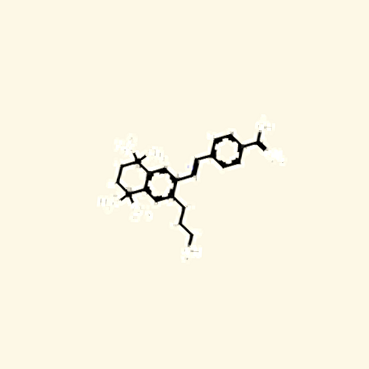 C=C(O)c1ccc(/C=C/c2cc3c(cc2CCCO)C(C)(C)CCC3(C)C)cc1